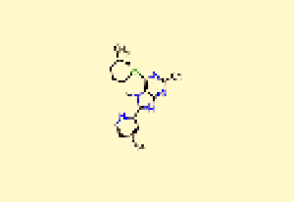 CC(C)c1ccnc(-c2nc3nc(C#N)nc(Cl)c3n2C[C@H]2CC[C@H](C)CC2)c1